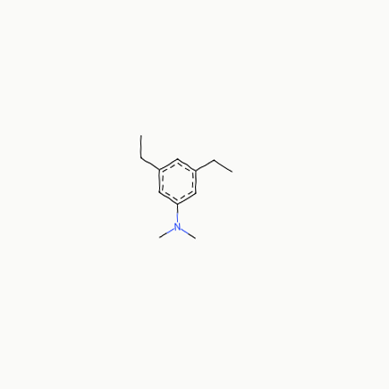 CCc1cc(CC)cc(N(C)C)c1